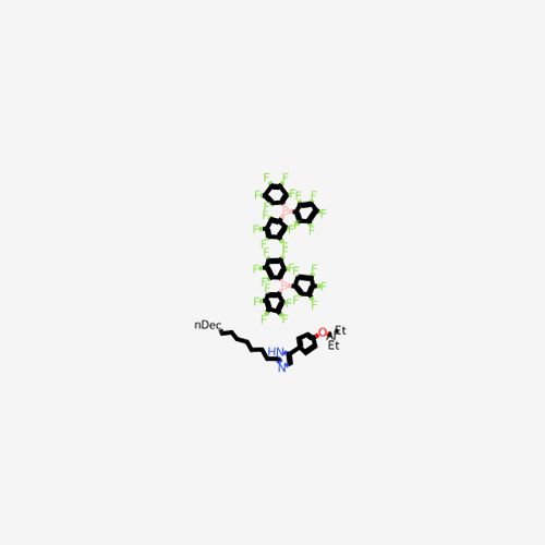 CCCCCCCCCCCCCCCCCc1ncc(-c2ccc([O][Al]([CH2]C)[CH2]C)cc2)[nH]1.Fc1c(F)c(F)c(B(c2c(F)c(F)c(F)c(F)c2F)c2c(F)c(F)c(F)c(F)c2F)c(F)c1F.Fc1c(F)c(F)c(B(c2c(F)c(F)c(F)c(F)c2F)c2c(F)c(F)c(F)c(F)c2F)c(F)c1F